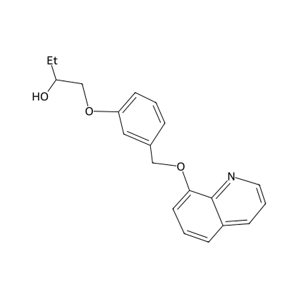 CCC(O)COc1cccc(COc2cccc3cccnc23)c1